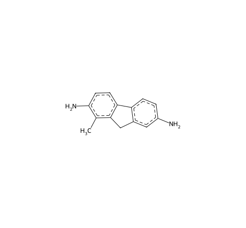 Cc1c(N)ccc2c1Cc1cc(N)ccc1-2